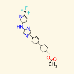 CC(=O)OCC1CCC(c2ccc(-c3cnc(Nc4ccc(C(F)(F)F)nc4)cn3)cc2)CC1